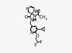 CC(=O)NC1(C(=O)NCc2cnc(OCC(F)F)c(C3CC3)c2)C=NC=CN1